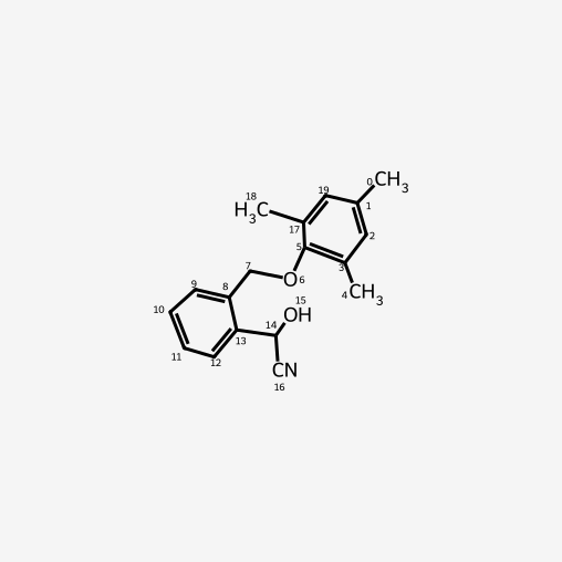 Cc1cc(C)c(OCc2ccccc2C(O)C#N)c(C)c1